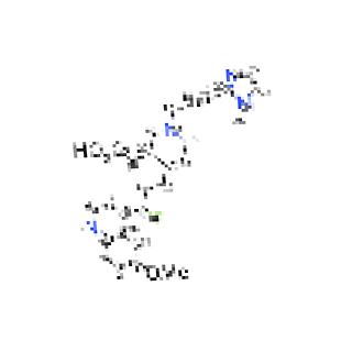 COc1ccc2nccc(C(F)CC[C@@H]3CCN(CC#Cc4nccn4C)C[C@@H]3CC(=O)O)c2c1